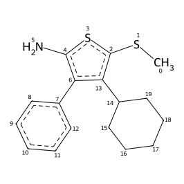 CSc1sc(N)c(-c2ccccc2)c1C1CCCCC1